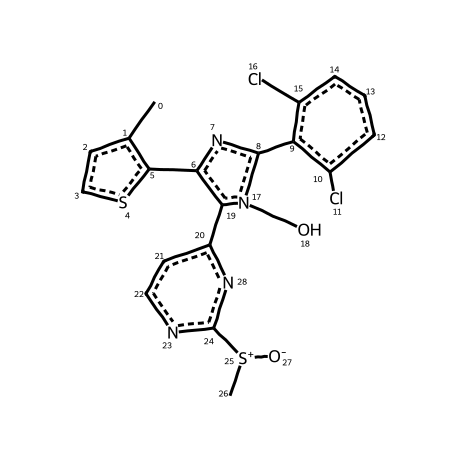 Cc1ccsc1-c1nc(-c2c(Cl)cccc2Cl)n(O)c1-c1ccnc([S+](C)[O-])n1